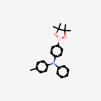 Cc1ccc(N(c2ccccc2)c2ccc(B3OC(C)(C)C(C)(C)O3)cc2)cc1